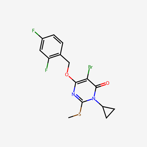 CSc1nc(OCc2ccc(F)cc2F)c(Br)c(=O)n1C1CC1